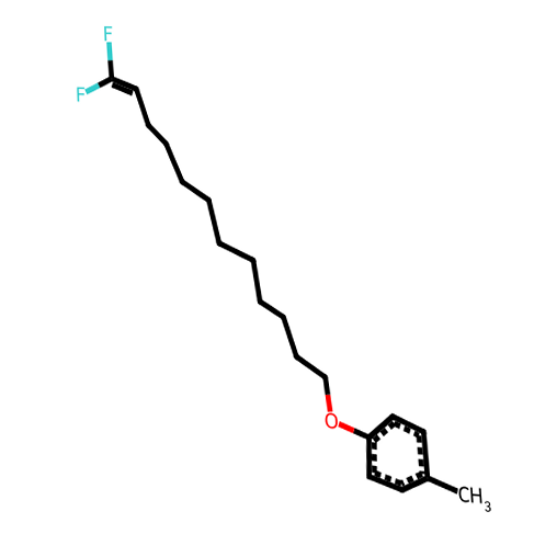 Cc1ccc(OCCCCCCCCCCC=C(F)F)cc1